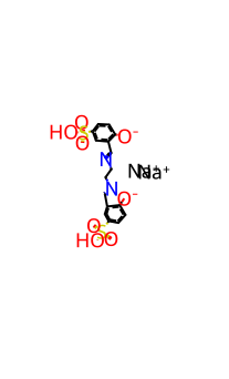 O=S(=O)(O)c1ccc([O-])c(C=NCCN=Cc2cc(S(=O)(=O)O)ccc2[O-])c1.[Na+].[Na+]